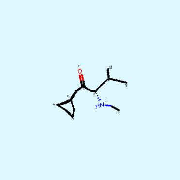 CN[C@H](C(=O)C1CC1)C(C)C